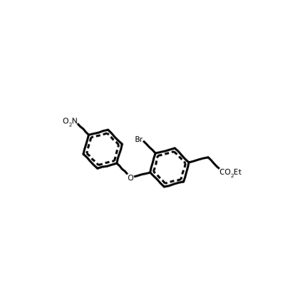 CCOC(=O)Cc1ccc(Oc2ccc([N+](=O)[O-])cc2)c(Br)c1